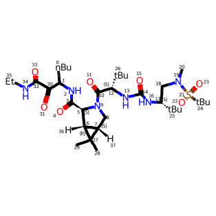 CCCCC(NC(=O)[C@@H]1[C@@H]2[C@H](CN1C(=O)[C@@H](NC(=O)N[C@H](CN(C)S(=O)(=O)C(C)(C)C)C(C)(C)C)C(C)(C)C)C2(C)C)C(=O)C(=O)NCC